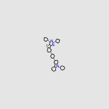 c1ccc(-c2nc(-c3ccccc3)c3sc4ccc(-c5ccc(-c6ccc7c(c6)c6ccccc6n7-c6ccccc6)cc5)cc4c3n2)cc1